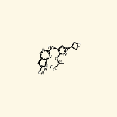 C[C@H](Oc1nn(C2COC2)cc1Nc1ncc2cc(C#N)[nH]c2n1)C(F)(F)F